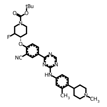 Cc1cc(Nc2ncnc(-c3ccc(O[C@H]4CCN(C(=O)OC(C)(C)C)CC4F)c(C#N)c3)n2)ccc1C1CCN(C)CC1